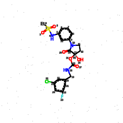 CCS(=O)(=O)Nc1cccc(N2CC[C@@](O)(OC(=O)NCc3cc(F)cc(Cl)c3)C2=O)c1